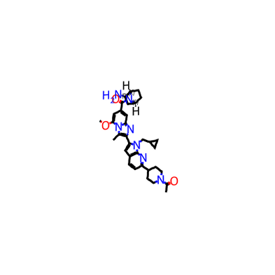 COc1cc(C(=O)N2[C@H]3CC[C@@H]2[C@H](N)C3)cc2nc(-c3cc4ccc(C5CCN(C(C)=O)CC5)nc4n3CC3CC3)c(C)n12